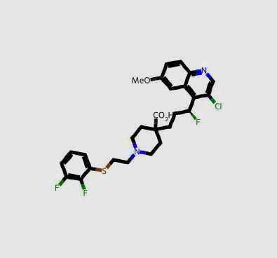 COc1ccc2ncc(Cl)c([C@@H](F)CCC3(C(=O)O)CCN(CCSc4cccc(F)c4F)CC3)c2c1